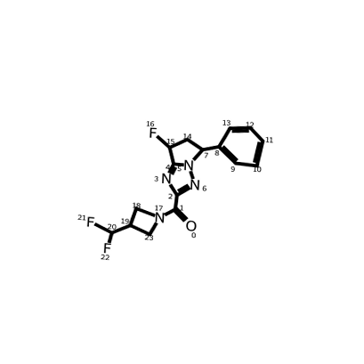 O=C(c1nc2n(n1)C(c1ccccc1)CC2F)N1CC(C(F)F)C1